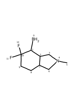 BC1C2CN(C)CC2CCC1(F)F